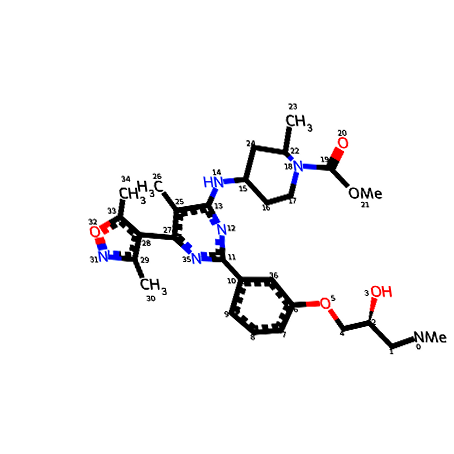 CNC[C@H](O)COc1cccc(-c2nc(NC3CCN(C(=O)OC)C(C)C3)c(C)c(-c3c(C)noc3C)n2)c1